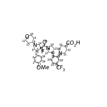 COc1ccc([C@@H]2CN(C3CCOCC3)C[C@@]2(F)C(=O)N2CC[C@@H](c3ccc(C(F)(F)F)cc3N3CCC(C(=O)O)CC3)C2)cc1